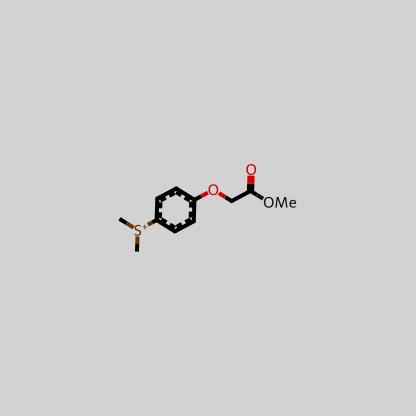 COC(=O)COc1ccc([S+](C)C)cc1